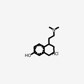 CN(C)CCC1CCCc2cc(O)ccc21.Cl